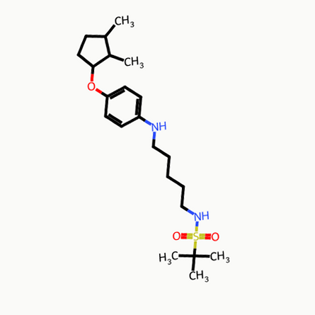 CC1CCC(Oc2ccc(NCCCCCNS(=O)(=O)C(C)(C)C)cc2)C1C